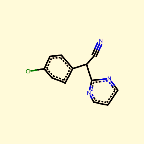 N#CC(c1ccc(Cl)cc1)c1ncccn1